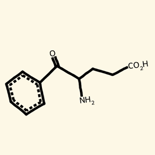 NC(CCC(=O)O)C(=O)c1ccccc1